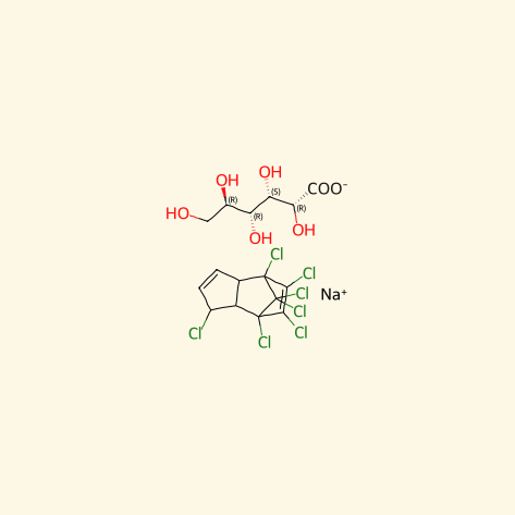 ClC1=C(Cl)C2(Cl)C3C(Cl)C=CC3C1(Cl)C2(Cl)Cl.O=C([O-])[C@H](O)[C@@H](O)[C@H](O)[C@H](O)CO.[Na+]